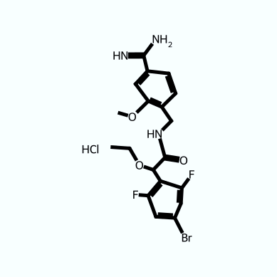 CCOC(C(=O)NCc1ccc(C(=N)N)cc1OC)c1c(F)cc(Br)cc1F.Cl